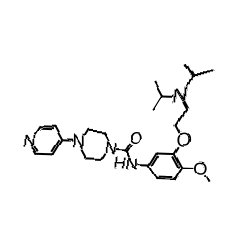 COc1ccc(NC(=O)N2CCN(c3ccncc3)CC2)cc1OCCN(C(C)C)C(C)C